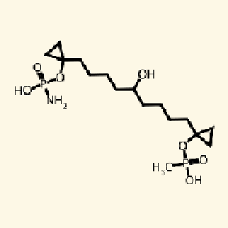 CP(=O)(O)OC1(CCCCC(O)CCCCC2(OP(N)(=O)O)CC2)CC1